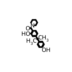 CC(C)(c1ccc(O)cc1)c1ccc(C(=O)N2CCCCC2)c(O)c1